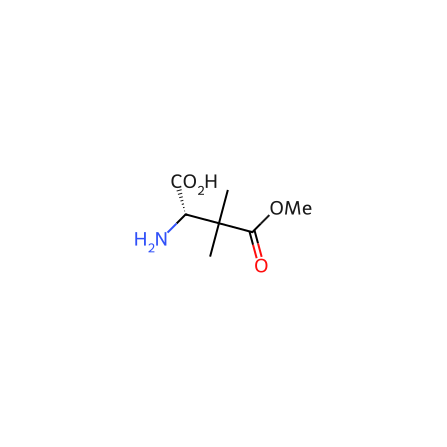 COC(=O)C(C)(C)[C@H](N)C(=O)O